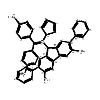 CCCCc1ccc([C](c2ccc(CCCC)cc2)=[Zr]([CH]2C=CC=C2)[CH]2c3cc(-c4ccccc4)c(C(C)(C)C)cc3-c3cc(C(C)(C)C)c(-c4ccccc4)cc32)cc1